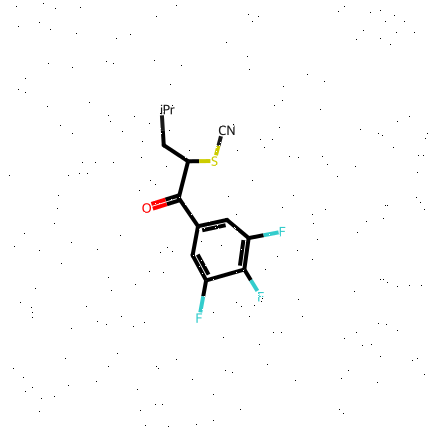 CC(C)CC(SC#N)C(=O)c1cc(F)c(F)c(F)c1